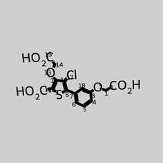 O=C(O)COc1cccc(-c2sc(C(=O)O)c(OCC(=O)O)c2Cl)c1